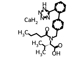 CCCCC(=O)N(Cc1ccc(-c2ccccc2-c2nnn[nH]2)cc1)[C@H](C(=O)O)C(C)C.[CaH2]